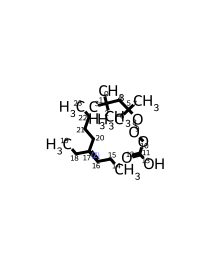 CC(C)(C)CC(C)(C)OOOC(=O)O.CC/C=C(/CC)CCCC